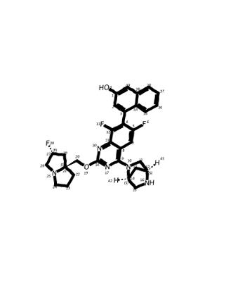 Oc1cc(-c2c(F)cc3c(N4C[C@@H]5C[C@H]4CN5)nc(OC[C@@]45CCCN4C[C@H](F)C5)nc3c2F)c2ccccc2c1